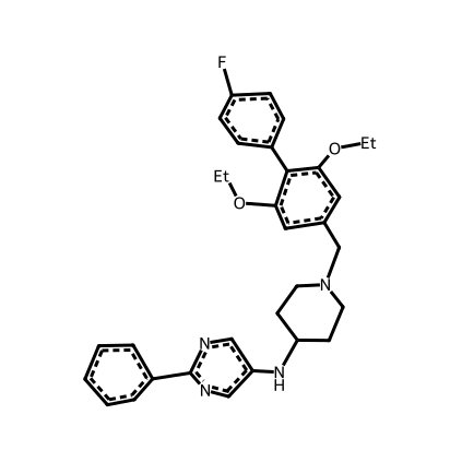 CCOc1cc(CN2CCC(Nc3cnc(-c4ccccc4)nc3)CC2)cc(OCC)c1-c1ccc(F)cc1